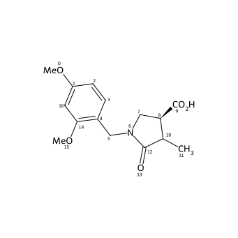 COc1ccc(CN2C[C@@H](C(=O)O)C(C)C2=O)c(OC)c1